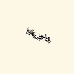 CC(C)(C)OC(=O)N1CCC[C@@H]1C(=O)NCCn1nc2c(F)c3c(c(F)c2n1)CC(CN1CCC2(CC1)CN(c1cnc4c(n1)NC(=O)CO4)C(=O)O2)C3